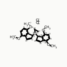 COc1ccc(OC)c2c1C=C[CH]2[Zr+2]1([CH]2C=Cc3c(OC)ccc(OC)c32)[CH2][CH2]1.[Cl-].[Cl-]